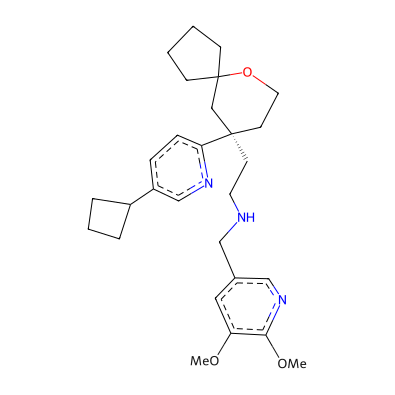 COc1cc(CNCC[C@@]2(c3ccc(C4CCC4)cn3)CCOC3(CCCC3)C2)cnc1OC